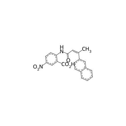 C/C(=C/C(=O)Nc1ccc([N+](=O)[O-])cc1C(=O)O)c1ccc2ccccc2c1